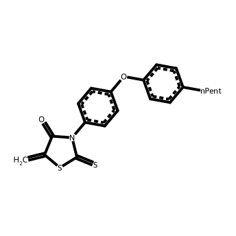 C=C1SC(=S)N(c2ccc(Oc3ccc(CCCCC)cc3)cc2)C1=O